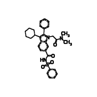 CN(C)C(=O)Cn1c(-c2ccccc2)c(C2CCCCC2)c2ccc(C(=O)NS(=O)(=O)c3ccccc3)cc21